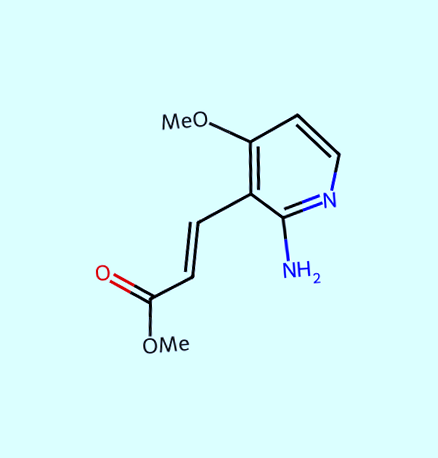 COC(=O)/C=C/c1c(OC)ccnc1N